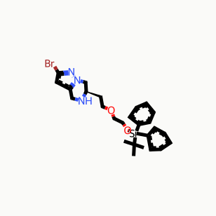 CC(C)(C)[Si](OCCOCC[C@@H]1Cn2nc(Br)cc2CN1)(c1ccccc1)c1ccccc1